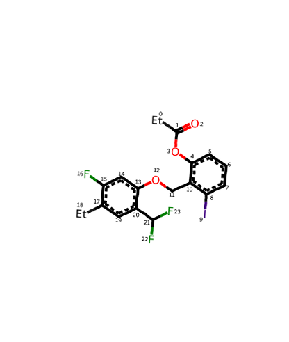 CCC(=O)Oc1cccc(I)c1COc1cc(F)c(CC)cc1C(F)F